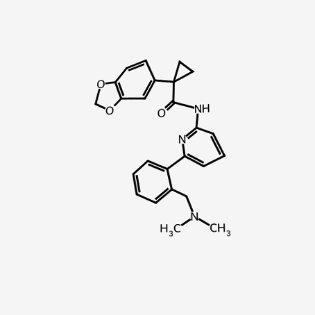 CN(C)Cc1ccccc1-c1cccc(NC(=O)C2(c3ccc4c(c3)OCO4)CC2)n1